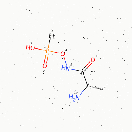 CCP(=O)(O)ONC(=O)[C@H](C)N